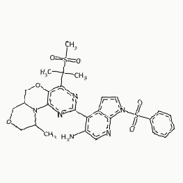 CC1COCC2COc3c(nc(-c4c(N)cnc5c4ccn5S(=O)(=O)c4ccccc4)nc3C(C)(C)S(C)(=O)=O)N12